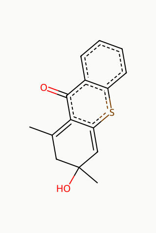 CC1=c2c(sc3ccccc3c2=O)=CC(C)(O)C1